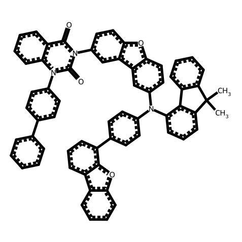 CC1(C)c2ccccc2-c2c(N(c3ccc(-c4cccc5c4oc4ccccc45)cc3)c3ccc4oc5ccc(-n6c(=O)c7ccccc7n(-c7ccc(-c8ccccc8)cc7)c6=O)cc5c4c3)cccc21